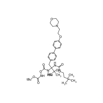 CCCCN(C(=O)ONC(=O)OC(C)(C)C)C(Cc1ccc(-c2ccc(OCCN3CCOCC3)cc2)cc1)(NC(=O)OCC[Si](C)(C)C)C(C)(O)O